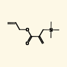 C=CCOC(=O)C(=C)C[Si](C)(C)C